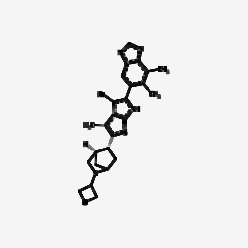 Cc1c(-c2[nH]c3sc([C@@H]4CC5C[C@H]4CN5C4COC4)c(C)c3c2C(C)C)cn2ncnc2c1C